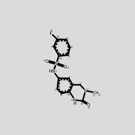 CN1Cc2cc(NS(=O)(=O)c3cccc(F)c3)ccc2NC1=O